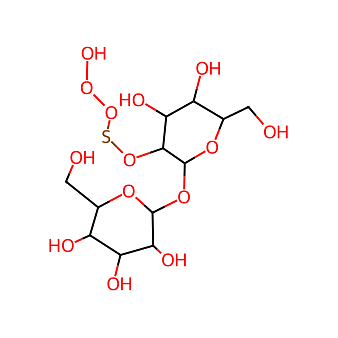 OCC1OC(OC2OC(CO)C(O)C(O)C2OSOOO)C(O)C(O)C1O